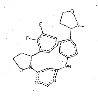 CN1OCCC1c1ccc(Nc2cc(N3OCCC3c3cccc(F)c3F)ncn2)cc1